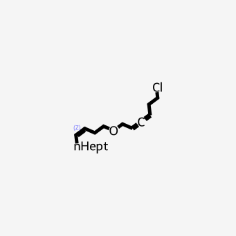 CCCCCCC/C=C\CCOCC=C=CCCCl